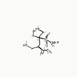 CNC(CO)C(CO)(CO)S(=O)(=O)O